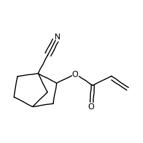 C=CC(=O)OC1CC2CCC1(C#N)C2